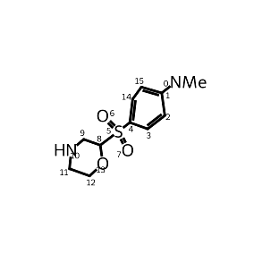 CNc1ccc(S(=O)(=O)C2CNCCO2)cc1